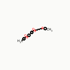 Cc1ccc(C(=O)OC2CCC(c3ccc(C(=O)OCCCCCCOC4CCC(C)CC4)cc3)CC2)cc1